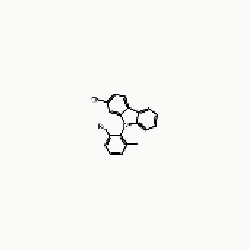 Cc1cccc(Br)c1-n1c2ccccc2c2ccc(Cl)cc21